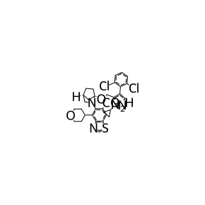 O=C(O)c1cc2scnc2c(C2CCOCC2)c1N1C[C@H]2CC[C@]1(OCc1c(-c3c(Cl)cccc3Cl)cnn1C1CC1)C2